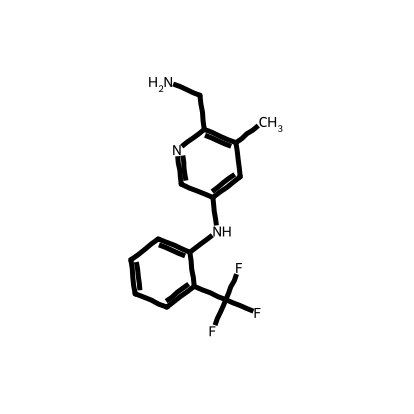 Cc1cc(Nc2ccccc2C(F)(F)F)cnc1CN